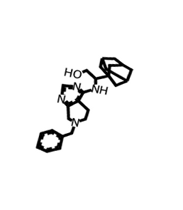 OCC(Nc1ncnc2c1CCN(Cc1ccccc1)C2)C12CC3CC(CC(C3)C1)C2